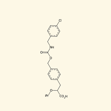 CC(C)OC(Cc1ccc(COC(=O)NCc2ccc(Cl)cc2)cc1)C(=O)O